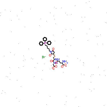 COC(=O)CNC(=O)C(CSC1CC(=O)N(CCCCC[P+](c2ccccc2)(c2ccccc2)c2ccccc2)C1=O)NC(=O)CCC(N)C(=O)OC.[Br-]